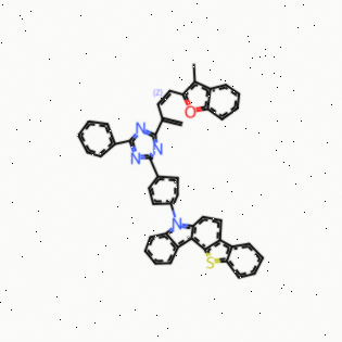 C=C(/C=C\c1oc2ccccc2c1C)c1nc(-c2ccccc2)nc(-c2ccc(-n3c4ccccc4c4c5sc6ccccc6c5ccc43)cc2)n1